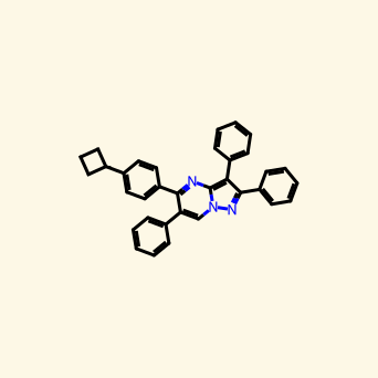 c1ccc(-c2cn3nc(-c4ccccc4)c(-c4ccccc4)c3nc2-c2ccc([C]3CCC3)cc2)cc1